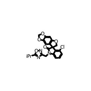 CC(C)c1nc(CN2C(=O)C3(COc4cc5c(cc43)OCO5)c3c(Cl)cccc32)no1